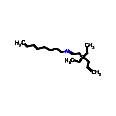 C=CC[Si](CC)(CC)CC=NCCCCCCCC